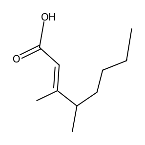 CCCCC(C)C(C)=CC(=O)O